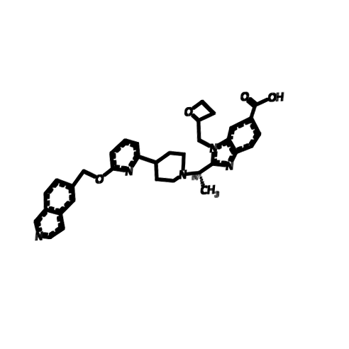 C[C@@H](c1nc2ccc(C(=O)O)cc2n1CC1CCO1)N1CCC(c2cccc(OCc3ccc4cnccc4c3)n2)CC1